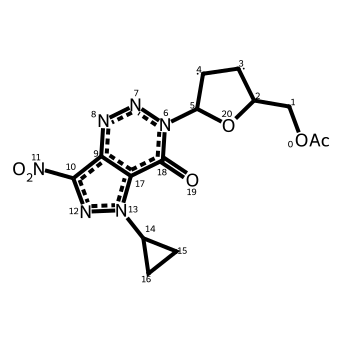 CC(=O)OCC1[CH][CH]C(n2nnc3c([N+](=O)[O-])nn(C4CC4)c3c2=O)O1